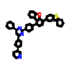 c1ccc(-c2cc(-c3ccc(-c4cccnc4)cc3)nc(-c3ccc(-c4ccc(-c5ccc6sc7ccccc7c6c5)c5oc6ccccc6c45)cc3)n2)cc1